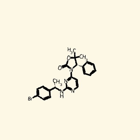 C[C@H](Nc1nccc(N2C(=O)OC(C)(C)[C@@H]2c2ccccc2)n1)c1ccc(Br)cc1